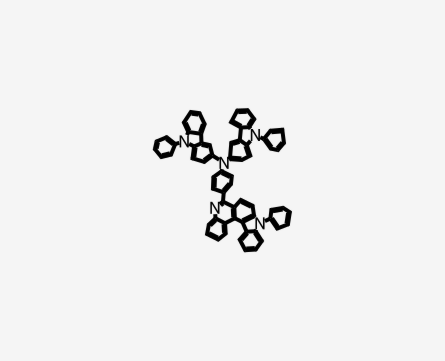 c1ccc(-n2c3ccccc3c3cc(N(c4ccc(-c5nc6ccccc6c6c5ccc5c6c6ccccc6n5-c5ccccc5)cc4)c4ccc5c(c4)c4ccccc4n5-c4ccccc4)ccc32)cc1